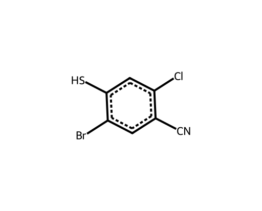 N#Cc1cc(Br)c(S)cc1Cl